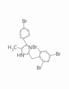 Cc1[nH]c(Cc2c(Br)cc(Br)cc2Br)nc1-c1ccc(Br)cc1